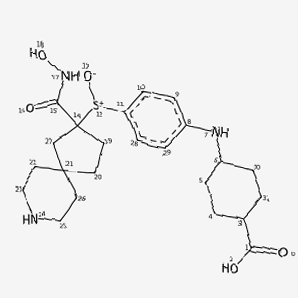 O=C(O)C1CCC(Nc2ccc([S+]([O-])C3(C(=O)NO)CCC4(CCNCC4)C3)cc2)CC1